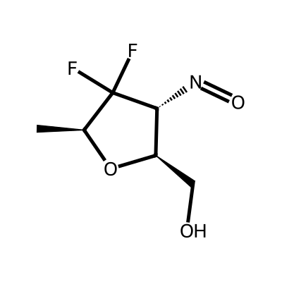 C[C@@H]1O[C@H](CO)[C@@H](N=O)C1(F)F